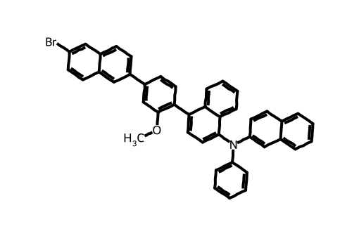 COc1cc(-c2ccc3cc(Br)ccc3c2)ccc1-c1ccc(N(c2ccccc2)c2ccc3ccccc3c2)c2ccccc12